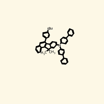 CC(C)(C)c1ccc(-c2cc3ccccc3c3c2-c2ccc(N(c4ccc(-c5ccccc5)cc4)c4ccc(-c5ccccc5)cc4)cc2C3(C)C)cc1